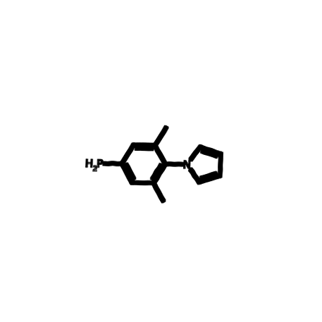 Cc1cc(P)cc(C)c1-n1cccc1